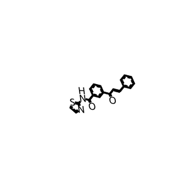 O=C(C=Cc1ccccc1)c1cccc(C(=O)Nc2nccs2)c1